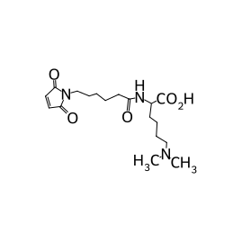 CN(C)CCCCC(NC(=O)CCCCCN1C(=O)C=CC1=O)C(=O)O